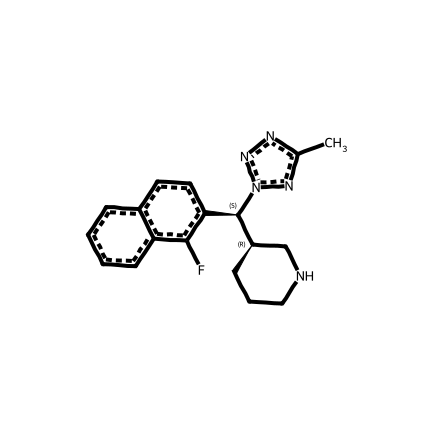 Cc1nnn([C@H](c2ccc3ccccc3c2F)[C@@H]2CCCNC2)n1